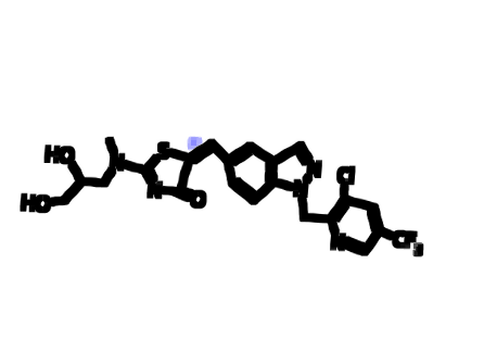 CN(CC(O)CO)C1=NC(=O)/C(=C\c2ccc3c(cnn3Cc3ncc(C(F)(F)F)cc3Cl)c2)S1